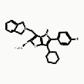 Cn1c(-c2ccc(Cl)cc2)c(C2CCCCC2)c2sc(OC(=O)O)c(CN3Cc4ccccc4C3)c21